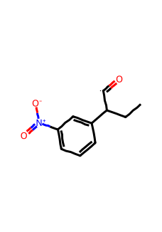 CCC([C]=O)c1cccc([N+](=O)[O-])c1